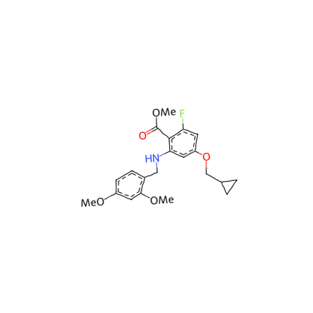 COC(=O)c1c(F)cc(OCC2CC2)cc1NCc1ccc(OC)cc1OC